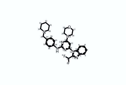 FC(F)c1nc2ccccc2n1-c1cc(N2CCOCC2)nc(Nc2ccc(CN3CCCCC3)cc2)n1